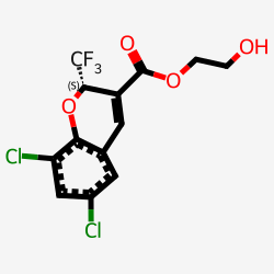 O=C(OCCO)C1=Cc2cc(Cl)cc(Cl)c2O[C@@H]1C(F)(F)F